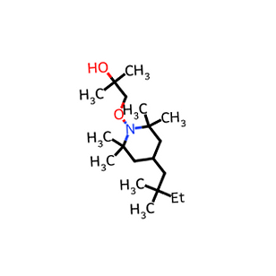 CCC(C)(C)CC1CC(C)(C)N(OCC(C)(C)O)C(C)(C)C1